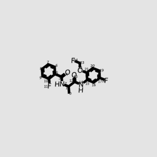 CC(NC(=O)c1ccccc1F)C(=O)Nc1cc(F)ccc1OCF